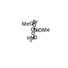 COc1cc(C(=O)N2CC(OC)CC2c2cccc(C(=O)NCC3CC3)c2)ccc1Br